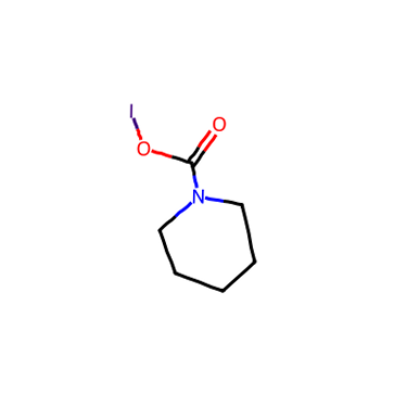 O=C(OI)N1CCCCC1